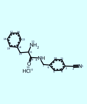 Cl.N#Cc1ccc(CNC(=O)C(N)Cc2ccccc2)cc1